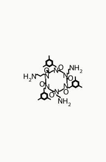 Cc1cc(C)cc(CN2CC(=O)N(CCN)CC(=O)N(Cc3cc(C)cc(C)c3)CC(=O)N(CCN)CC(=O)N(Cc3cc(C)cc(C)c3)CC(=O)N(CCCN)CC2=O)c1